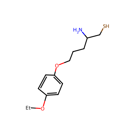 CCOc1ccc(OCCCC(N)CS)cc1